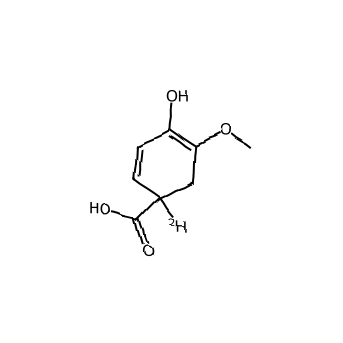 [2H]C1(C(=O)O)C=CC(O)=C(OC)C1